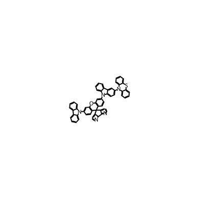 c1ccc2c(c1)Sc1ccccc1N2c1ccc2c(c1)c1ccccc1n2-c1ccc2c(c1)Oc1cc(-n3c4ccccc4c4ccccc43)ccc1C21c2cccnc2-c2ncccc21